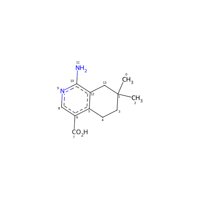 CC1(C)CCc2c(C(=O)O)cnc(N)c2C1